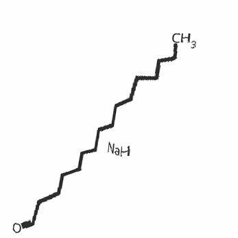 CCCCCCCCCCCCCCCC=O.[NaH]